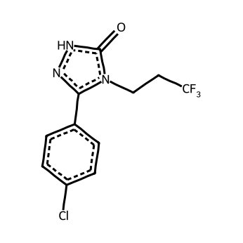 O=c1[nH]nc(-c2ccc(Cl)cc2)n1CCC(F)(F)F